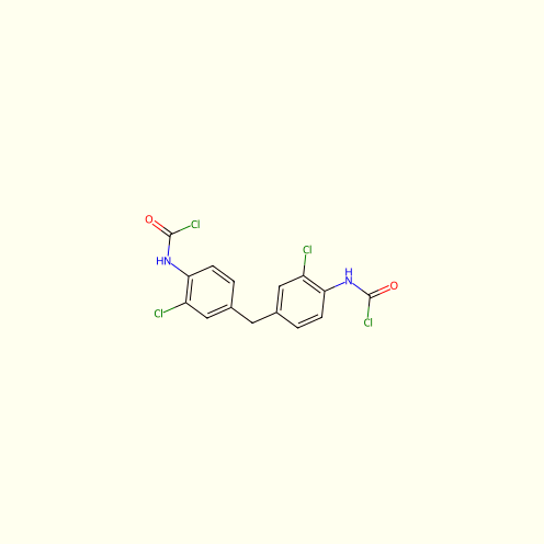 O=C(Cl)Nc1ccc(Cc2ccc(NC(=O)Cl)c(Cl)c2)cc1Cl